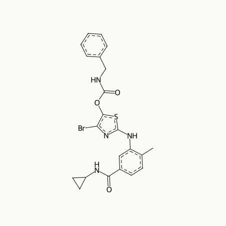 Cc1ccc(C(=O)NC2CC2)cc1Nc1nc(Br)c(OC(=O)NCc2ccccc2)s1